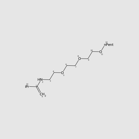 C=C(NCCOCCOCCOCCCCC)C(C)C